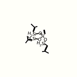 C=C[Si](O[SiH2]C=C(C)C)(O[SiH2]C=C(C)C)O[SiH2]C=C(C)C